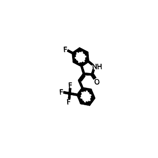 O=C1Nc2ccc(F)cc2C1=Cc1ccccc1C(F)(F)F